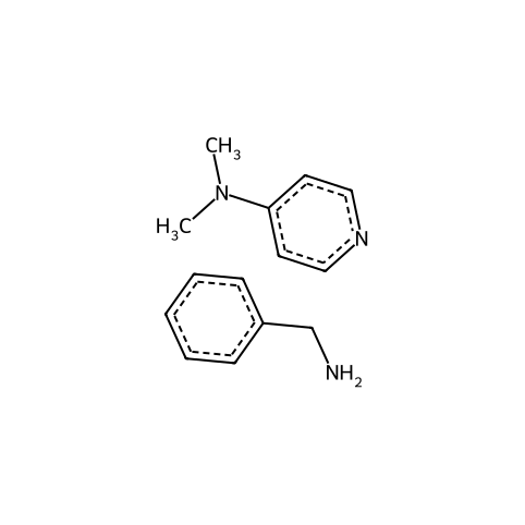 CN(C)c1ccncc1.NCc1ccccc1